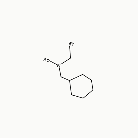 CC(=O)N(CC(C)C)CC1CCCCC1